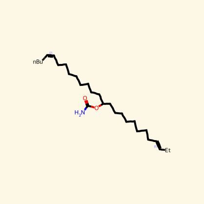 CC/C=C/CCCCCCCCC(CCCCCCCC/C=C\CCCC)OC(N)=O